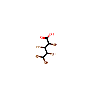 O=C(O)C(S)C(S)C(S)C(S)S